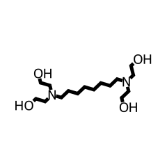 OCCN(CCO)CCCCCCCCN(CCO)CCO